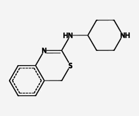 c1ccc2c(c1)CSC(NC1CCNCC1)=N2